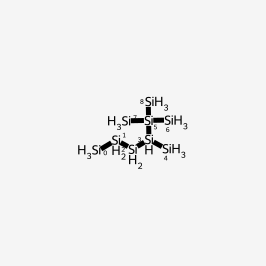 [SiH3][SiH2][SiH2][SiH]([SiH3])[Si]([SiH3])([SiH3])[SiH3]